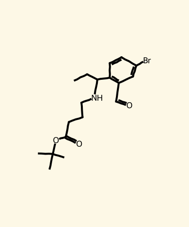 CCC(NCCCC(=O)OC(C)(C)C)c1ccc(Br)cc1C=O